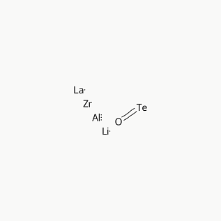 O=[Te].[Al].[La].[Li].[Zr]